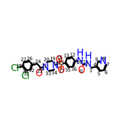 O=C(NCc1cccnc1)Nc1ccc(S(=O)(=O)N2CCN(C(=O)Cc3ccc(Cl)c(Cl)c3)CC2)cc1